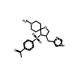 BN1CCC2(CC1)OCC(Cc1c[nH]cn1)N2S(=O)(=O)c1ccc(C(C)=O)cc1